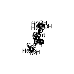 CCC[C@@H](C)[C@H]1CC[C@H]2[C@@H]3[C@H](OCOC[C@@H]4OC(CO)[C@@H](O)C(O)[C@@H]4O)C[C@@H]4CCCC[C@]4(C)[C@H]3C[C@H](OCCO[C@@H]3OC(CO)[C@@H](O)C(O)[C@@H]3O)[C@]12C